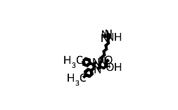 Cc1ccc(-c2nc3c(nc2-c2ccc(C)cc2)N(CCCCCCc2nnn[nH]2)C(=O)[C@@H](O)C3)cc1